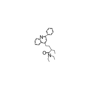 CCC(CCc1cc(-c2ccccc2)nc2ccccc12)C(=O)N(CC)CC